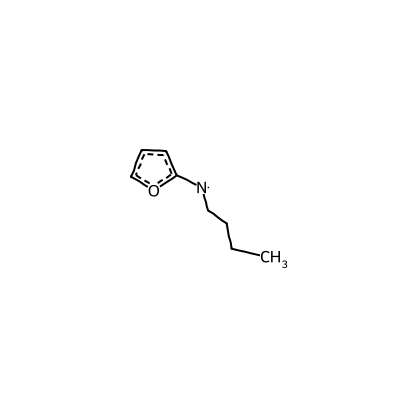 CCCC[N]c1ccco1